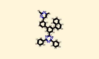 Cc1cc(-c2cccc(-c3cc(-c4nc(-c5ccccc5)nc(-c5ccccc5)n4)cc(-c4cccc5ccccc45)c3)c2)nc(C)n1